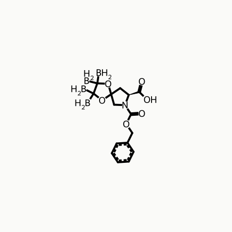 BC1(B)OC2(C[C@@H](C(=O)O)N(C(=O)OCc3ccccc3)C2)OC1(B)B